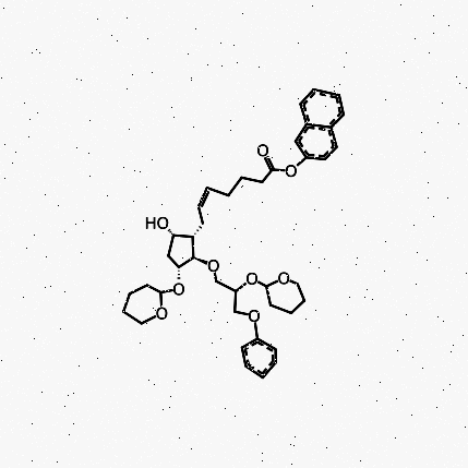 O=C(CCC/C=C\C[C@@H]1[C@@H](OCC(COc2ccccc2)OC2CCCCO2)[C@H](OC2CCCCO2)C[C@@H]1O)Oc1ccc2ccccc2c1